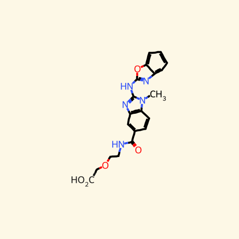 Cn1c(Nc2nc3ccccc3o2)nc2cc(C(=O)NCCOCC(=O)O)ccc21